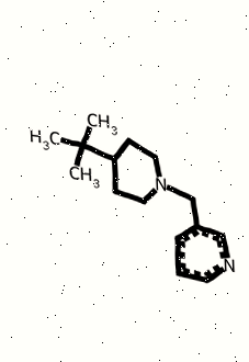 CC(C)(C)C1CCN(Cc2cccnc2)CC1